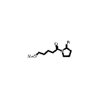 COCCCCC(=O)N1CCCC1C(C)C